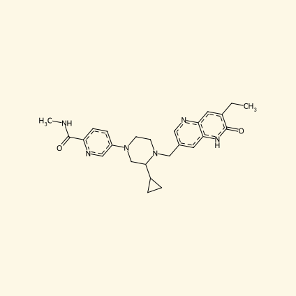 CCc1cc2ncc(CN3CCN(c4ccc(C(=O)NC)nc4)CC3C3CC3)cc2[nH]c1=O